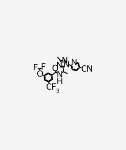 Cc1nc(C(C)NC(=O)c2cc(OC(F)F)cc(C(F)(F)F)c2)n(-c2ccc(C#N)cn2)n1